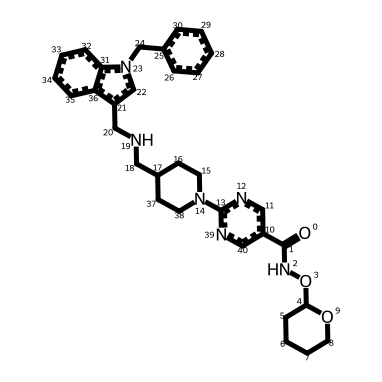 O=C(NOC1CCCCO1)c1cnc(N2CCC(CNCc3cn(Cc4ccccc4)c4ccccc34)CC2)nc1